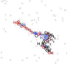 CC(C)[C@H](NC(=O)[C@H](C)CCCCNC(=O)COC1CCCCCc2c1nnn2CCOCCOCCOCCOCCC(=O)NCCS(=O)(=O)O)C(=O)N[C@@H](C)C(=O)Nc1ccc2c(c1)[C@@]1(C)CCC[C@](C)(C(=O)NC(=O)[C@@]3(C)CCC[C@]4(C)c5cc(O)ccc5CC[C@@H]34)[C@@H]1CC2